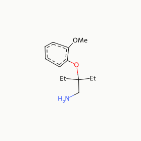 CCC(CC)(CN)Oc1ccccc1OC